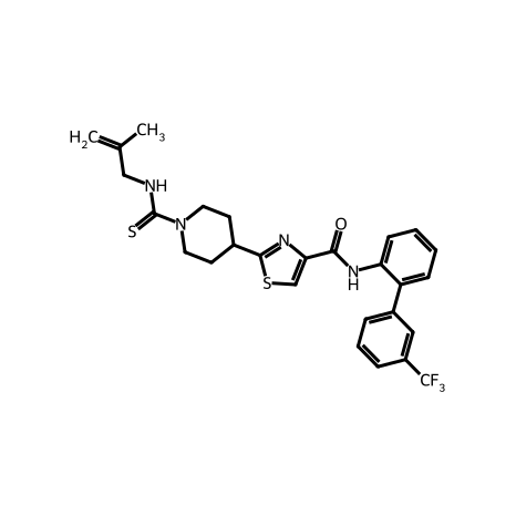 C=C(C)CNC(=S)N1CCC(c2nc(C(=O)Nc3ccccc3-c3cccc(C(F)(F)F)c3)cs2)CC1